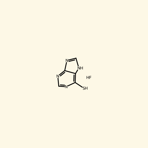 F.Sc1ncnc2nc[nH]c12